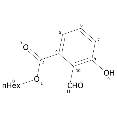 CCCCCCOC(=O)c1cccc(O)c1C=O